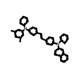 Cc1cc(C)cc(N(c2ccccc2)c2ccc(/C=C/c3ccc(N(c4ccccc4)c4ccc5ccccc5c4)cc3)cc2)c1